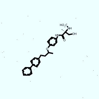 CC(CCc1ccc(-c2ccccc2)cc1)Oc1ccc(NC(=O)[C@](C)(CO)NC(=O)O)cc1